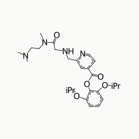 CC(C)Oc1cccc(OC(C)C)c1OC(=O)c1ccnc(CNCC(=O)N(C)CCN(C)C)c1